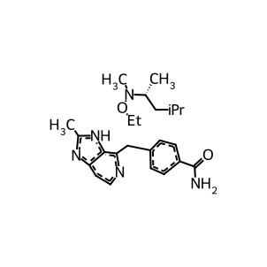 CCON(C)[C@H](C)CC(C)C.Cc1nc2ccnc(Cc3ccc(C(N)=O)cc3)c2[nH]1